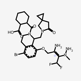 CN(N)/C(=C(\N)COc1ccc(Br)c2c1C(CN1CC3(CC3)CC1=O)N(C(=O)C1CCCCC1C(=O)O)CC2)C(F)F